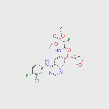 CCOP(=O)(OCC)C(F)C(=O)Nc1cc2c(Nc3ccc(F)c(Cl)c3)ncnc2cc1O[C@H]1CCOC1